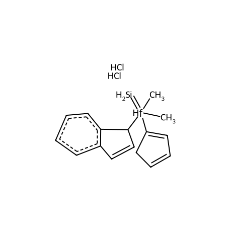 Cl.Cl.[CH3][Hf]([CH3])(=[SiH2])([C]1=CC=CC1)[CH]1C=Cc2ccccc21